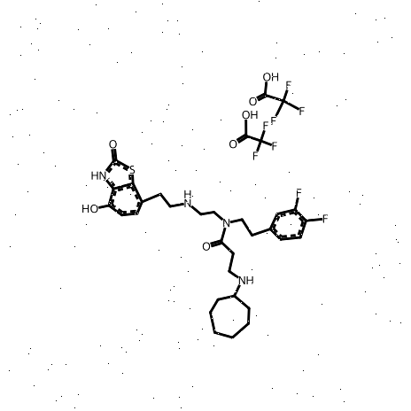 O=C(CCNC1CCCCCC1)N(CCNCCc1ccc(O)c2[nH]c(=O)sc12)CCc1ccc(F)c(F)c1.O=C(O)C(F)(F)F.O=C(O)C(F)(F)F